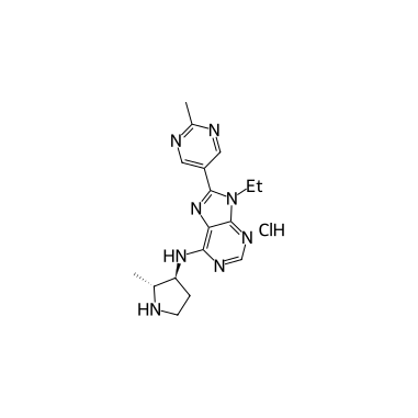 CCn1c(-c2cnc(C)nc2)nc2c(N[C@H]3CCN[C@@H]3C)ncnc21.Cl